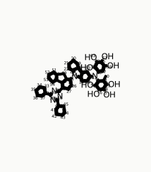 Cc1c(O)c(O)c(O)c(O)c1N(c1ccc2c(c1)c1ccccc1n2-c1ccc(-c2nc(-c3ccccc3)nc(-c3ccccc3)n2)c2c1Cc1ccccc1-2)c1cc(O)c(O)c(O)c1O